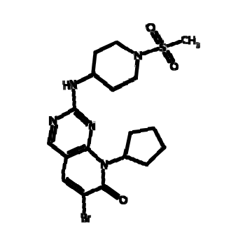 CS(=O)(=O)N1CCC(Nc2ncc3cc(Br)c(=O)n(C4CCCC4)c3n2)CC1